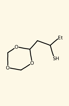 CCC(S)CC1OCOCO1